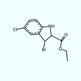 CCOC(=O)C1Nc2ccc(Cl)cc2C1Br